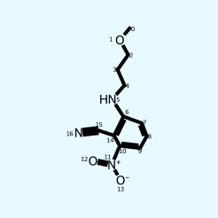 COCCCNc1cccc([N+](=O)[O-])c1C#N